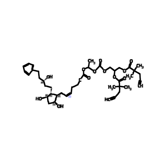 C#CCC(C)(C)C(=O)OCC(COC(=O)OC(C)OC(=O)CCC/C=C\C[C@@H]1[C@@H](CC[C@@H](O)CCc2ccccc2)[C@H](O)C[C@@H]1O)OC(=O)C(C)(C)CC#C